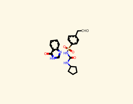 O=CCc1ccc(S(=O)(=O)NC(=O)NC2CCCC2)cc1.O=c1[nH]cnc2ccccc12